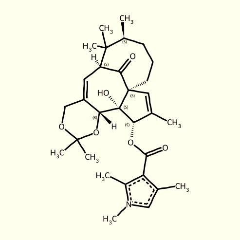 CC1=C[C@@]23CCC[C@H](C)C(C)(C)[C@H](C=C4COC(C)(C)O[C@H]4[C@]2(O)[C@H]1OC(=O)c1c(C)cn(C)c1C)C3=O